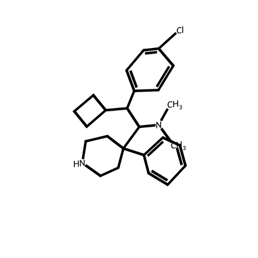 CN(C)C(C(c1ccc(Cl)cc1)C1CCC1)C1(c2ccccc2)CCNCC1